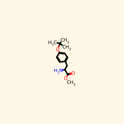 COC(=O)C(N)Cc1ccc(OC(C)(C)C)cc1